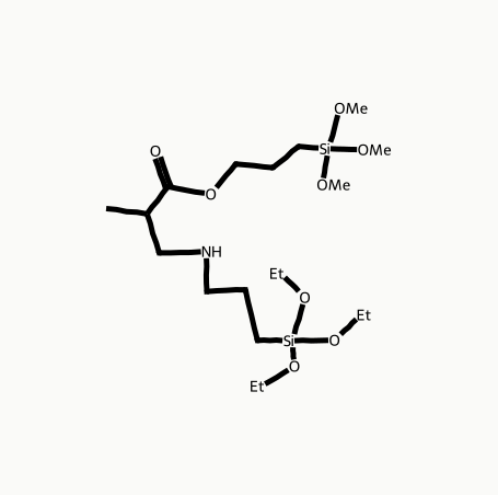 CCO[Si](CCCNCC(C)C(=O)OCCC[Si](OC)(OC)OC)(OCC)OCC